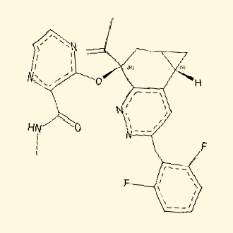 C=C(C)[C@]1(Oc2nccnc2C(=O)NC)CC2C[C@@H]2c2cc(-c3c(F)cccc3F)nnc21